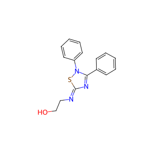 OCC/N=c1/nc(-c2ccccc2)n(-c2ccccc2)s1